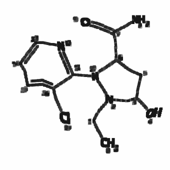 CCN1C(O)CC(C(N)=O)N1c1ncccc1Cl